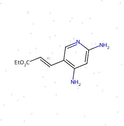 CCOC(=O)/C=C/c1cnc(N)cc1N